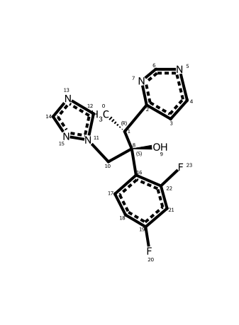 C[C@H](c1ccncn1)[C@@](O)(Cn1cncn1)c1ccc(F)cc1F